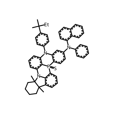 CCC(C)(C)c1ccc(N2c3cc(N(c4ccccc4)c4cccc5ccccc45)ccc3P3(=S)c4cccc5c4N(c4cccc2c43)C2(C)CCCCC52C)cc1